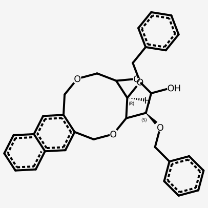 OC1OC2COCc3cc4ccccc4cc3COC([C@@H]1OCc1ccccc1)[C@@H]2OCc1ccccc1